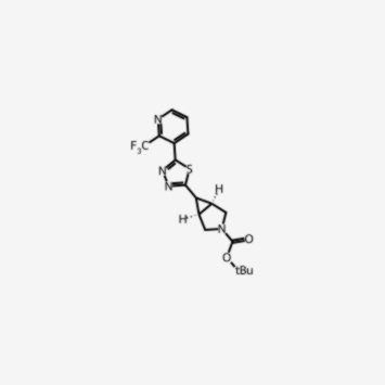 CC(C)(C)OC(=O)N1C[C@@H]2C(c3nnc(-c4cccnc4C(F)(F)F)s3)[C@@H]2C1